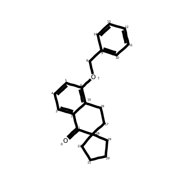 O=C1c2cccc(OCc3ccccc3)c2CCC12CCCC2